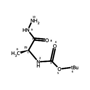 C[C@H](NC(=O)OC(C)(C)C)C(=O)NN